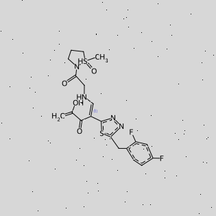 C=C(O)C(=O)/C(=C\NCC(=O)N1CCC[SH]1(C)=O)c1nnc(Cc2ccc(F)cc2F)s1